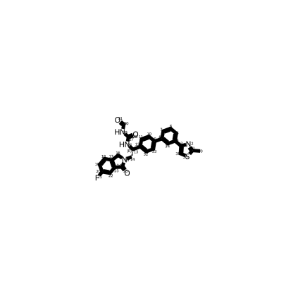 Cc1nc(-c2cccc(-c3ccc([C@H](CN4Cc5ccc(F)cc5C4=O)NC(=O)NC=O)cc3)c2)cs1